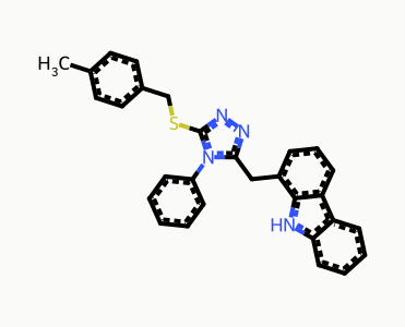 Cc1ccc(CSc2nnc(Cc3cccc4c3[nH]c3ccccc34)n2-c2ccccc2)cc1